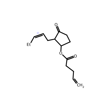 C=CCCC(=O)OC1CCC(=O)C1C/C=C\CC